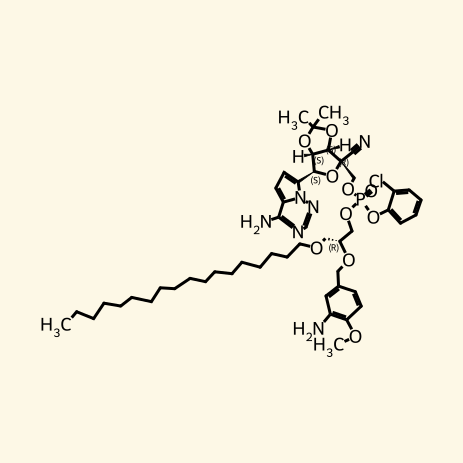 CCCCCCCCCCCCCCCCCCOC[C@H](COP(=O)(OC[C@@]1(C#N)O[C@@H](c2ccc3c(N)ncnn23)[C@@H]2OC(C)(C)O[C@@H]21)Oc1ccccc1Cl)OCc1ccc(OC)c(N)c1